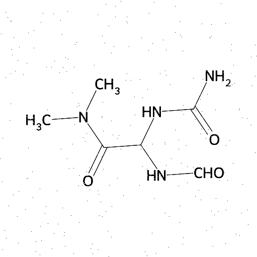 CN(C)C(=O)C(NC=O)NC(N)=O